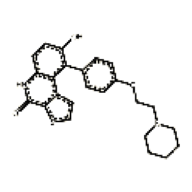 O=c1[nH]c2ccc(O)c(-c3ccc(OCCN4CCCCC4)cc3)c2c2ccsc12